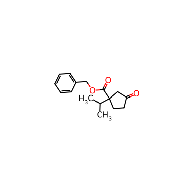 CC(C)C1(C(=O)OCc2ccccc2)CCC(=O)C1